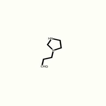 O=CCCN1CCNC1